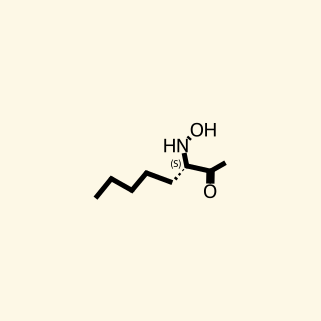 CCCCC[C@H](NO)C(C)=O